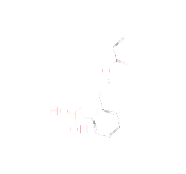 C=CC(=O)OCCc1ccccc1P(O)(O)=S